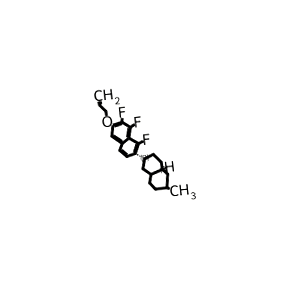 C=CCOc1cc2ccc([C@@H]3CC[C@@H]4CC(C)CCC4C3)c(F)c2c(F)c1F